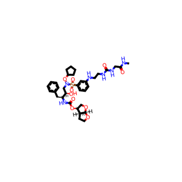 CNC(=O)CNC(=O)NCCNc1cccc(S(=O)(=O)N(C[C@@H](O)[C@H](Cc2ccccc2)NC(=O)O[C@H]2CO[C@H]3OCC[C@H]32)OC2CCCC2)c1